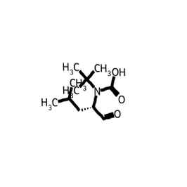 CC(C)C[C@@H](C=O)N(C(=O)O)C(C)(C)C